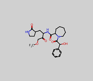 O=C1NCCC1CC(NC(=O)C1CCCCCN1C(=O)C(O)c1ccccc1)C(=O)COC(F)(F)F